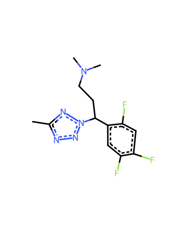 Cc1nnn(C(CCN(C)C)c2cc(F)c(F)cc2F)n1